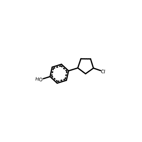 Oc1ccc(C2CCC(Cl)C2)cc1